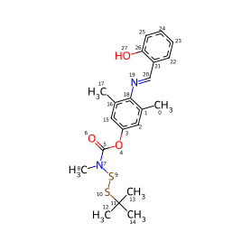 Cc1cc(OC(=O)N(C)SSC(C)(C)C)cc(C)c1N=Cc1ccccc1O